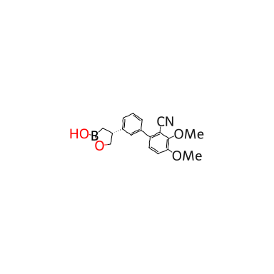 COc1ccc(-c2cccc([C@@H]3COB(O)C3)c2)c(C#N)c1OC